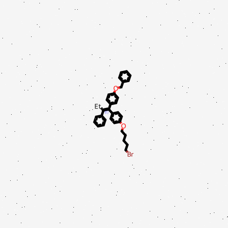 CC/C(=C(/c1ccc(OCCCCCBr)cc1)c1ccc(OCc2ccccc2)cc1)c1ccccc1